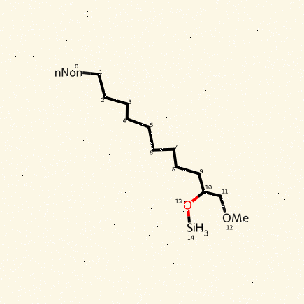 CCCCCCCCCCCCCCCCCCC(COC)O[SiH3]